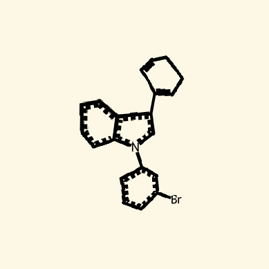 Brc1cccc(-n2cc(C3=CCCC=C3)c3ccccc32)c1